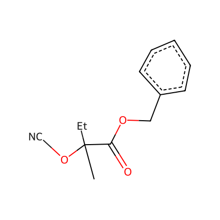 CCC(C)(OC#N)C(=O)OCc1ccccc1